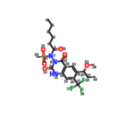 CCCCCC(=O)N(n1c(=O)[nH]c2cc(C(F)(F)F)c(C(CC)OC)cc2c1=O)S(C)(=O)=O